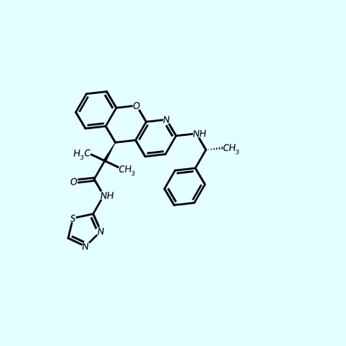 C[C@@H](Nc1ccc2c(n1)Oc1ccccc1[C@@H]2C(C)(C)C(=O)Nc1nncs1)c1ccccc1